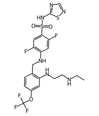 CCNCCNc1cc(OC(F)(F)F)ccc1CNc1cc(F)c(S(=O)(=O)Nc2ncns2)cc1F